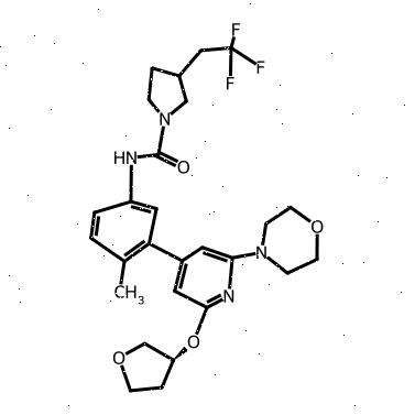 Cc1ccc(NC(=O)N2CCC(CC(F)(F)F)C2)cc1-c1cc(O[C@H]2CCOC2)nc(N2CCOCC2)c1